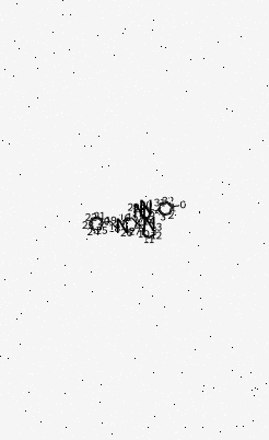 Cc1ccc(-c2cc(C3(c4ccccn4)CCN(CCc4ccccc4)CC3)n(C)n2)cc1